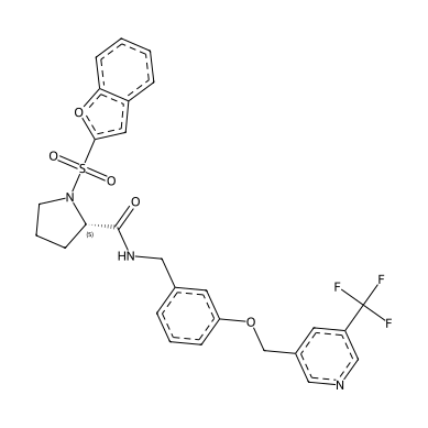 O=C(NCc1cccc(OCc2cncc(C(F)(F)F)c2)c1)[C@@H]1CCCN1S(=O)(=O)c1cc2ccccc2o1